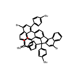 CC(C)(C)c1ccc(-c2cc(Br)c3ccccc3c2-c2ccc3c(c2-c2ccc(C(C)(C)C)cc2)C(c2ccc(C(C)(C)C)cc2)(c2ccc(C(C)(C)C)cc2)c2cc(Br)c4ccccc4c2-3)cc1